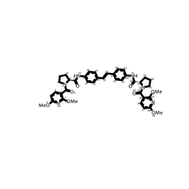 COc1ccc(C(=O)N2CCC[C@H]2C(=O)Nc2ccc(/C=C/c3ccc(NC(=O)[C@@H]4CCCN4C(=O)c4ccc(OC)nc4OC)cc3)cc2)c(OC)n1